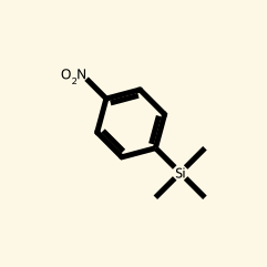 C[Si](C)(C)c1ccc([N+](=O)[O-])cc1